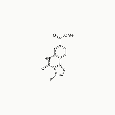 COC(=O)c1ccc2c(c1)[nH]c(=O)c1c(F)ccn12